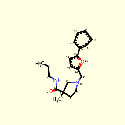 CCCNC(=O)C1(C)CCN(Cc2ccc(-c3ccccc3)o2)C1